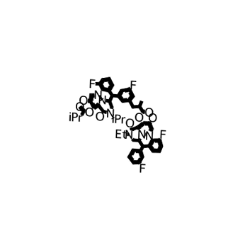 CCN1CC(C(c2cccc(F)c2)c2cccc(F)c2)n2ncc(=O)c(OC(=O)C(C)Cc3cc(F)cc(C(c4cccc(F)c4)C4CN(C(C)C)C(=O)c5c(OC(=O)C(C)C)c(=O)cnn54)c3)c2C1=O